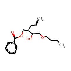 C=CC[C@H](COC(=O)c1ccccc1)[C@H](O)COCCCC